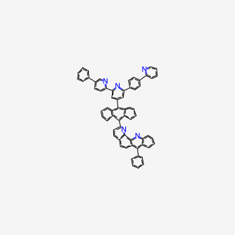 c1ccc(-c2ccc(-c3cc(-c4c5ccccc5c(-c5ccc6ccc7c(-c8ccccc8)c8ccccc8nc7c6n5)c5ccccc45)cc(-c4ccc(-c5ccccn5)cc4)n3)nc2)cc1